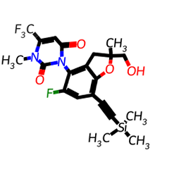 Cn1c(C(F)(F)F)cc(=O)n(-c2c(F)cc(C#C[Si](C)(C)C)c3c2CC(C)(CO)O3)c1=O